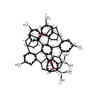 Cc1cc2c(c(C3CCCCC3)c1)-c1c3c(c4c(c1-c1c(cc(C)cc1C1CCCCC1)C2)-c1c(cc(C)cc1C1CCCCC1)Cc1cc(C)cc(C2CCCCC2)c1-4)-c1c-3ccc(P(O)O)c1P(O)O